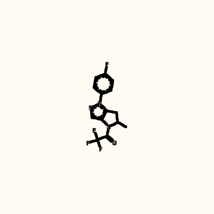 CC1Cc2c(cnn2-c2ccc(F)cc2)N1C(=O)C(F)(F)F